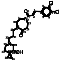 O=C(C=Cc1ccc(Cl)c(Cl)c1)N1CCC(=O)N(CCCN2CCC3(CC3)C(O)C2)CC1